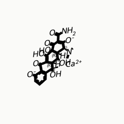 CN(C)[C@@H]1C([O-])=C(C(N)=O)C(=O)[C@@]2(O)C(O)=C3C(=O)c4c([O-])cccc4[C@@](C)(O)[C@H]3[C@H](O)[C@@H]12.[Ca+2]